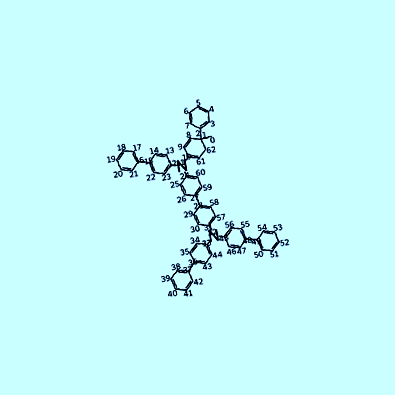 CC1(c2ccccc2)C=CC(N(c2ccc(-c3ccccc3)cc2)c2ccc(-c3ccc(N(c4ccc(-c5ccccc5)cc4)c4ccc(-c5ccccc5)cc4)cc3)cc2)=CC1